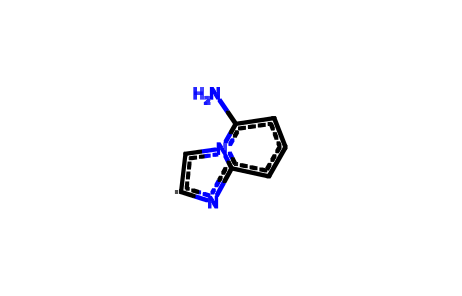 Nc1cccc2n[c]cn12